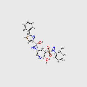 COc1ncc(NC(=O)c2csc(-c3ccccc3)n2)cc1S(=O)(=O)Nc1ccccc1C